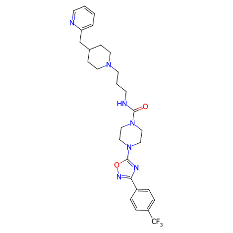 O=C(NCCCN1CCC(Cc2ccccn2)CC1)N1CCN(c2nc(-c3ccc(C(F)(F)F)cc3)no2)CC1